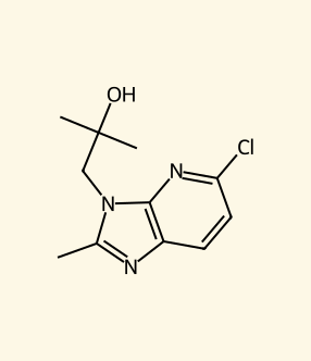 Cc1nc2ccc(Cl)nc2n1CC(C)(C)O